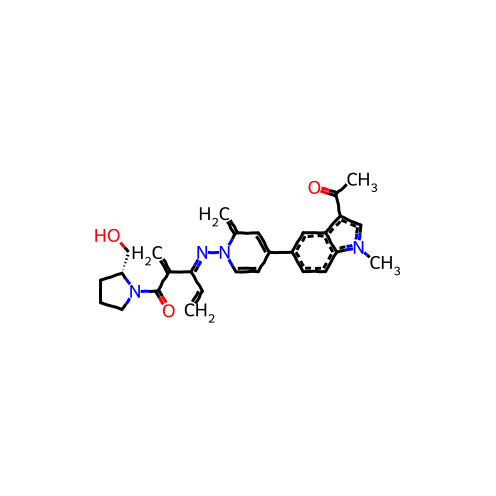 C=C/C(=N\N1C=CC(c2ccc3c(c2)c(C(C)=O)cn3C)=CC1=C)C(=C)C(=O)N1CCC[C@@H]1CO